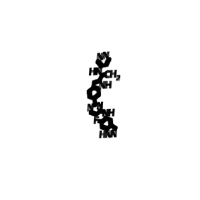 C=C(Nc1ccnnc1)c1cc2ccc(-c3nccc(Nc4cc5cn[nH]c5cc4F)n3)cc2[nH]1